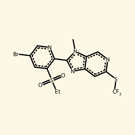 CCS(=O)(=O)c1cc(Br)cnc1-c1nc2cc(SC(F)(F)F)ncc2n1C